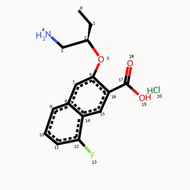 CC[C@H](CN)Oc1cc2cccc(F)c2cc1C(=O)O.Cl